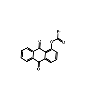 CCC(=O)Oc1cccc2c1C(=O)c1ccccc1C2=O